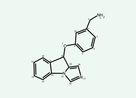 NCc1cccc(OC2c3ccccc3-n3cncc32)c1